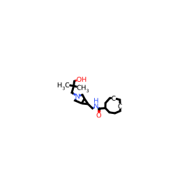 CC(C)(CO)CN1CC2C(CNC(=O)C3CCCCCCCC3)C2C1